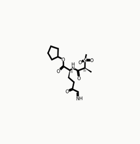 C[C@@H](C(=O)N[C@@H](CCC(=O)C=N)C(=O)OC1CCCC1)S(C)(=O)=O